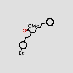 CCc1ccc(CCC(CCCCc2ccccc2)C(=O)OC)cc1